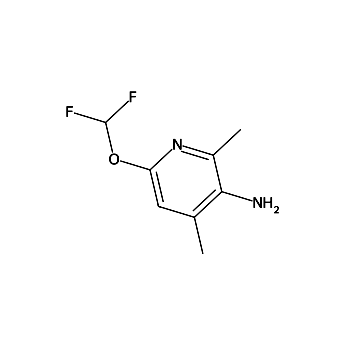 Cc1cc(OC(F)F)nc(C)c1N